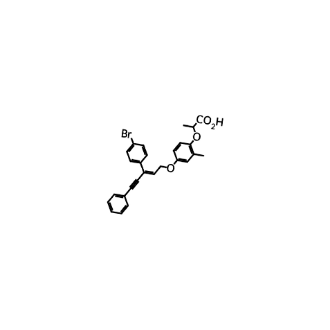 Cc1cc(OCC=C(C#Cc2ccccc2)c2ccc(Br)cc2)ccc1OC(C)C(=O)O